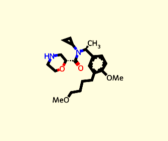 COCCCCc1cc([C@H](C)N(C(=O)[C@H]2CNCCO2)C2CC2)ccc1OC